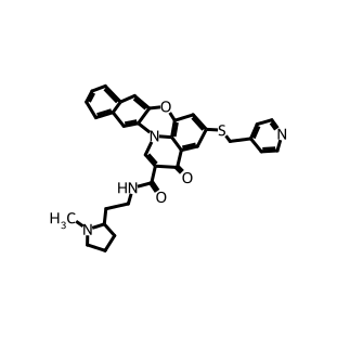 CN1CCCC1CCNC(=O)c1cn2c3c(cc(SCc4ccncc4)cc3c1=O)Oc1cc3ccccc3cc1-2